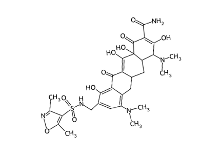 Cc1noc(C)c1S(=O)(=O)NCc1cc(N(C)C)c2c(c1O)C(=O)C1=C(O)C3(O)C(=O)C(C(N)=O)=C(O)C(N(C)C)C3CC1C2